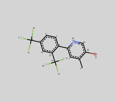 Cc1cc(-c2ccc(C(F)(F)F)cc2C(F)(F)F)ncc1Br